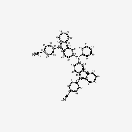 N#Cc1ccc(-n2c3ccccc3c3cc(N(c4ccccc4)c4ccc5c(c4)c4ccccc4n5-c4ccc(C#N)cc4)ccc32)cc1